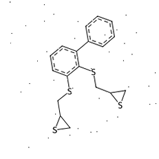 c1ccc(-c2cccc(SCC3CS3)c2SCC2CS2)cc1